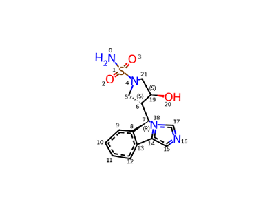 NS(=O)(=O)N1C[C@@H]([C@@H]2c3ccccc3-c3cncn32)[C@H](O)C1